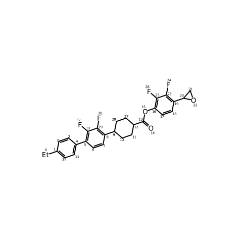 CCc1ccc(-c2ccc(C3CCC(C(=O)Oc4ccc(C5CO5)c(F)c4F)CC3)c(F)c2F)cc1